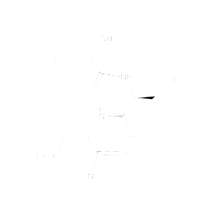 CC(C)C[C@H](NC(=O)[C@H](C)N)C(=O)N[C@@H](CC(=O)O)C(N)=O